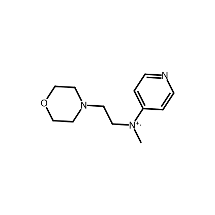 C[N+](CCN1CCOCC1)c1ccncc1